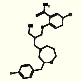 NC(=O)C1=CC(Cl)CC=C1OCC(CO)CN1CCCOC(Cc2ccc(F)cc2)C1